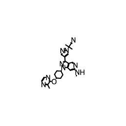 CNc1cc2c(cn1)c(-c1cnn(C(C)(C)C#N)c1)nn2C1CCC(Oc2nccnc2C)CC1